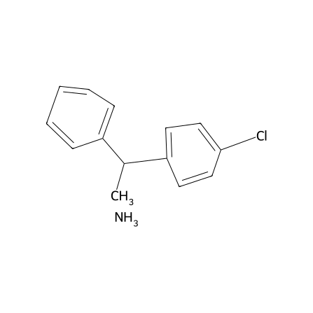 CC(c1ccccc1)c1ccc(Cl)cc1.N